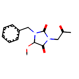 CCOC1C(=O)N(CC(=O)C(C)(C)C)C(=O)N1Cc1ccccc1